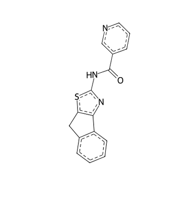 O=C(Nc1nc2c(s1)Cc1ccccc1-2)c1cccnc1